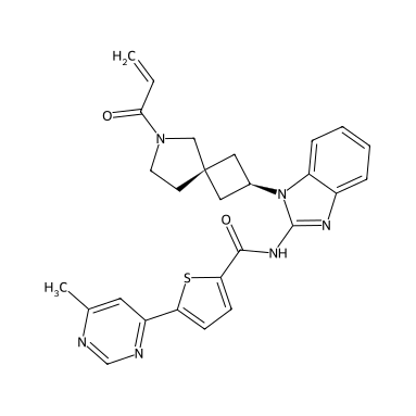 C=CC(=O)N1CC[C@]2(C1)C[C@H](n1c(NC(=O)c3ccc(-c4cc(C)ncn4)s3)nc3ccccc31)C2